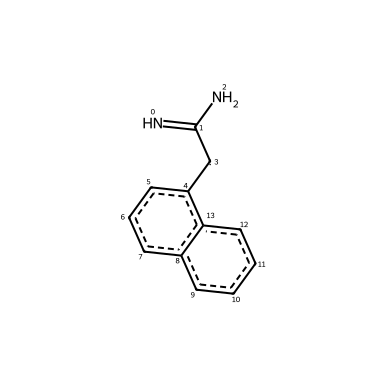 N=C(N)[CH]c1cccc2ccccc12